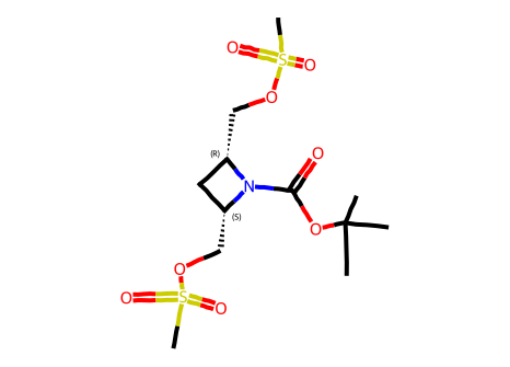 CC(C)(C)OC(=O)N1[C@H](COS(C)(=O)=O)C[C@@H]1COS(C)(=O)=O